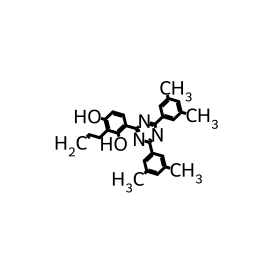 C=CCc1c(O)ccc(-c2nc(-c3cc(C)cc(C)c3)nc(-c3cc(C)cc(C)c3)n2)c1O